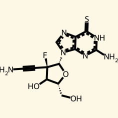 NC#C[C@@]1(F)C(O)[C@@H](CO)O[C@H]1n1cnc2c(=S)[nH]c(N)nc21